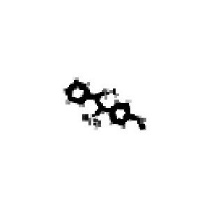 COc1ccc(C(N)C(N)c2ccccc2)cc1.[Pt]